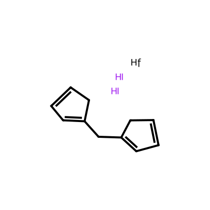 C1=CCC(CC2=CC=CC2)=C1.I.I.[Hf]